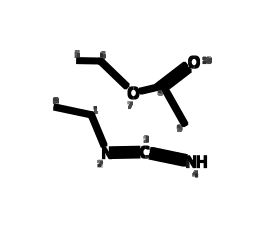 CCN=C=N.CCOC(C)=O